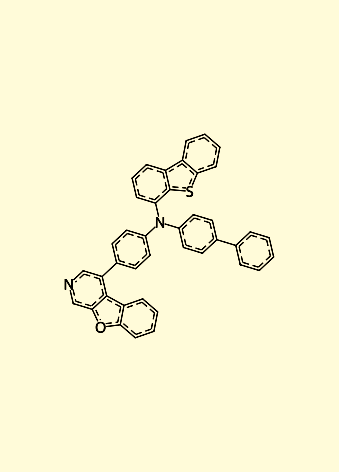 c1ccc(-c2ccc(N(c3ccc(-c4cncc5oc6ccccc6c45)cc3)c3cccc4c3sc3ccccc34)cc2)cc1